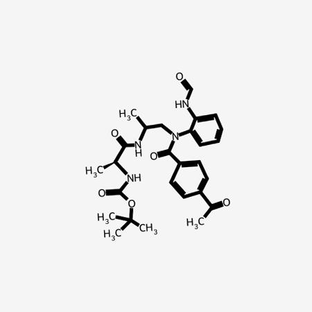 CC(=O)c1ccc(C(=O)N(CC(C)NC(=O)[C@H](C)NC(=O)OC(C)(C)C)c2ccccc2NC=O)cc1